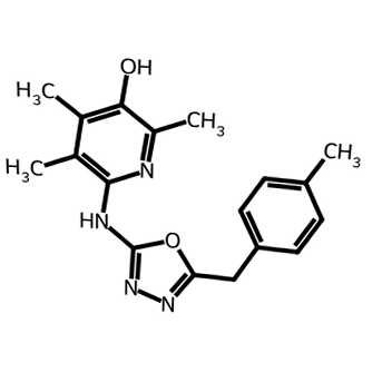 Cc1ccc(Cc2nnc(Nc3nc(C)c(O)c(C)c3C)o2)cc1